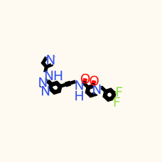 CN1CCC(CNc2ncnc3ccc(C#CCNC(=O)c4cccn(Cc5ccc(F)c(F)c5)c4=O)cc23)C1